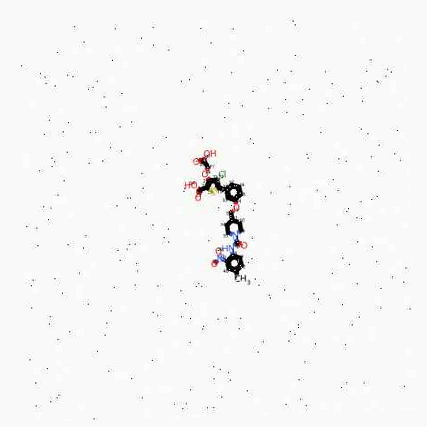 Cc1ccc(NC(=O)N2CCC(COc3cccc(-c4sc(C(=O)O)c(OCC(=O)O)c4Cl)c3)CC2)c([N+](=O)[O-])c1